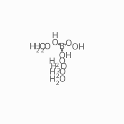 O.O.O.O.O.O.OOB(O)O